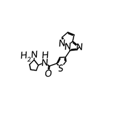 N[C@@H]1CCCC1NC(=O)c1cc(-c2cnc3cccnn23)cs1